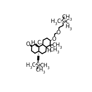 CC1(C)[C@@H](OCOCC[Si](C)(C)C)CC[C@]2(C)C3=CC(=O)CC[C@]3(C#C[Si](C)(C)C)CC[C@@H]12